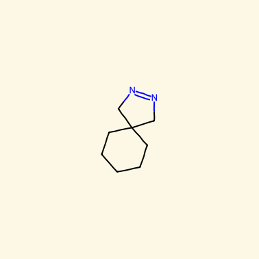 C1CCC2(CC1)CN=NC2